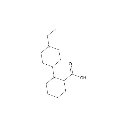 CCN1CCC(N2CCCCC2C(=O)O)CC1